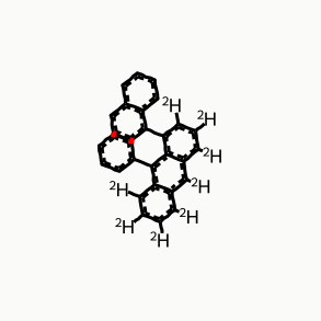 [2H]c1c([2H])c([2H])c2c(-c3ccccc3)c3c(-c4cccc5ccccc45)c([2H])c([2H])c([2H])c3c([2H])c2c1[2H]